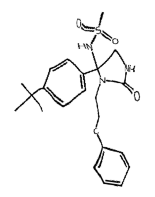 CC(C)(C)c1ccc(C2(NS(C)(=O)=O)CNC(=O)N2CCCc2ccccc2)cc1